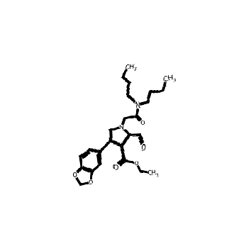 CCCCN(CCCC)C(=O)CN1CC(c2ccc3c(c2)OCO3)C(C(=O)OCC)C1C=O